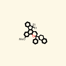 CCC1(CC)c2ccccc2-c2c1c1c(c3cc(OC)ccc23)OC(C2=Cc3ccccc3CC2)(c2ccccc2)C=C1